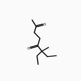 CCC(C)(CC)C(=O)CCC(C)=O